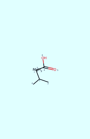 CC(C)CC(=O)O.[MgH2]